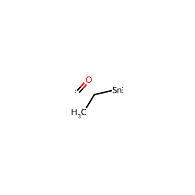 C[CH2][Sn].[C]=O